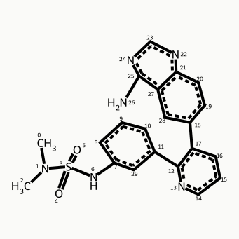 CN(C)S(=O)(=O)Nc1cccc(-c2ncccc2-c2ccc3ncnc(N)c3c2)c1